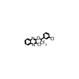 FC(F)(F)C(Oc1nc2ccccc2nc1Cl)c1cccc(Cl)c1